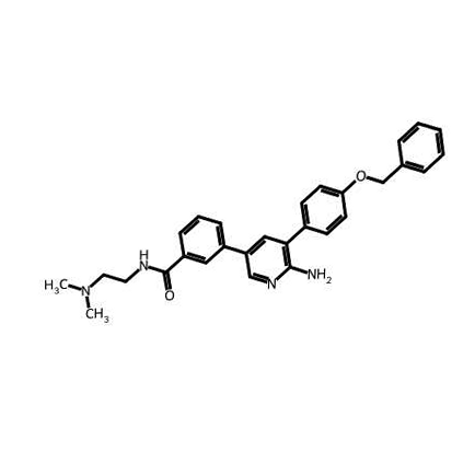 CN(C)CCNC(=O)c1cccc(-c2cnc(N)c(-c3ccc(OCc4ccccc4)cc3)c2)c1